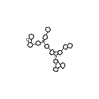 c1ccc(-c2ccc(N(c3ccc(-c4ccc5c(c4)c4cc(-c6ccc7ccccc7c6)ccc4n5-c4ccc5c6ccccc6c6ccccc6c5c4)cc3)c3ccc(-c4cccc5oc6ccccc6c45)cc3)cc2)cc1